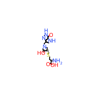 N[C@@H](CCSC[C@H]1CN(Cc2c[nH]c3c(=O)[nH]cnc23)C[C@@H]1O)C(=O)O